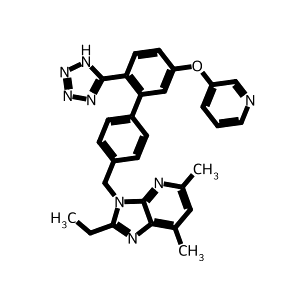 CCc1nc2c(C)cc(C)nc2n1Cc1ccc(-c2cc(Oc3cccnc3)ccc2-c2nnn[nH]2)cc1